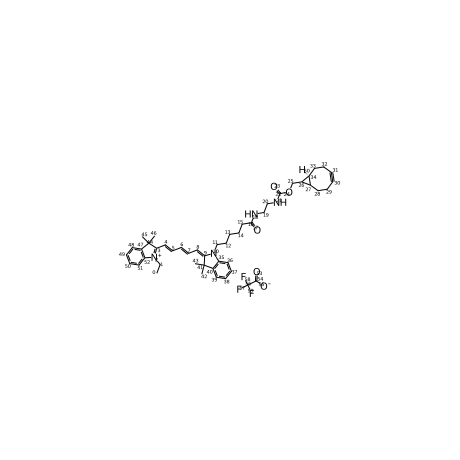 CC[N+]1=C(/C=C/C=C/C=C2/N(CCCCCC(=O)NCCNC(=O)OCC3C4CCC#CCC[C@@H]43)c3ccccc3C2(C)C)C(C)(C)c2ccccc21.O=C([O-])C(F)(F)F